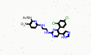 CC(=O)Nc1nc(NCCNc2ncc(-c3cnc[nH]3)c(-c3ccc(Cl)cc3Cl)n2)ccc1[N+](=O)[O-]